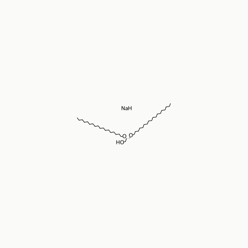 CCCCCCCCCCCCCCCCCCOC[C@H](CO)OCCCCCCCCCCCCCCCCCC.[NaH]